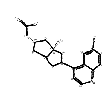 O=C(Cl)C[C@H]1CC2CC(c3ccnc4ccc(F)cc34)C[C@@H]2C1